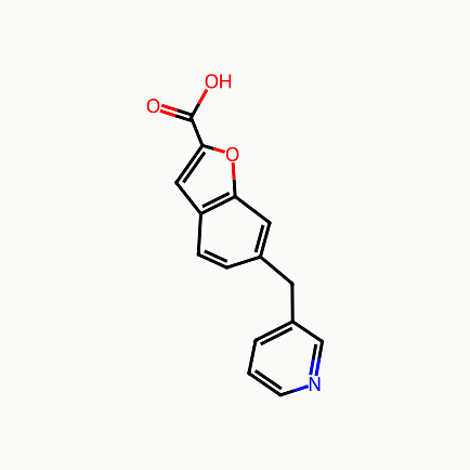 O=C(O)c1cc2ccc(Cc3cccnc3)cc2o1